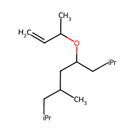 C=CC(C)OC(CC(C)C)CC(C)CC(C)C